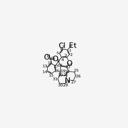 CCc1cc2c(cc1Cl)C1(OC(=O)c3ccccc31)c1cc3c4c(c1O2)CCCN4CCC3